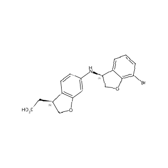 O=C(O)C[C@@H]1COc2cc(N[C@@H]3COc4c(Br)cccc43)ccc21